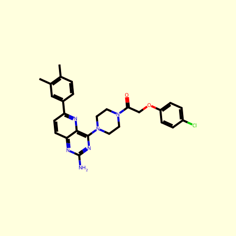 Cc1ccc(-c2ccc3nc(N)nc(N4CCN(C(=O)COc5ccc(Cl)cc5)CC4)c3n2)cc1C